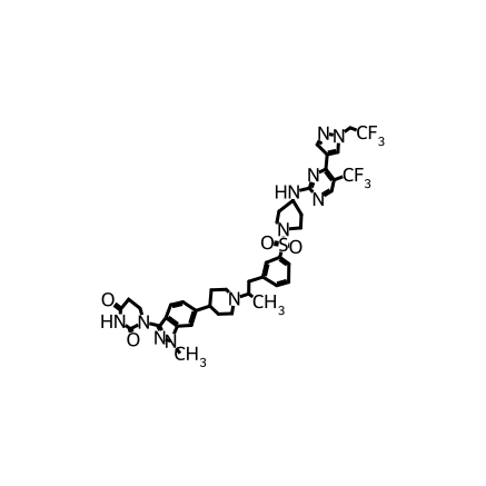 CC(Cc1cccc(S(=O)(=O)N2CCC(Nc3ncc(C(F)(F)F)c(-c4cnn(CC(F)(F)F)c4)n3)CC2)c1)N1CCC(c2ccc3c(N4CCC(=O)NC4=O)nn(C)c3c2)CC1